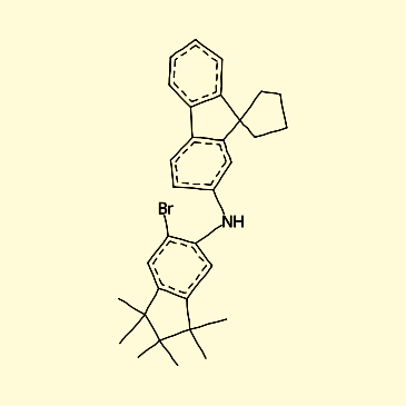 CC1(C)c2cc(Br)c(Nc3ccc4c(c3)C3(CCCC3)c3ccccc3-4)cc2C(C)(C)C1(C)C